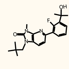 Cn1c(=O)n(CC(C)(C)C)c2ccc(-c3cccc(C(C)(C)O)c3F)nc21